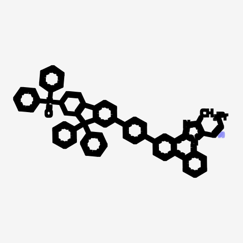 Cc1nc2c3cc(-c4ccc(-c5ccc6c(c5)C(c5ccccc5)(c5ccccc5)C5=C6C=CC(P(=O)(c6ccccc6)c6ccccc6)C5)cc4)ccc3c3ccccc3n2c1/C=C\C(C)C